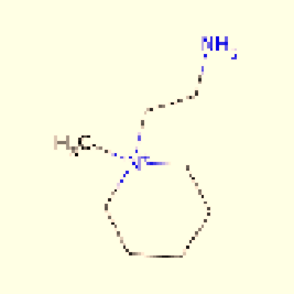 C[N+]1(CCN)CCCCC1